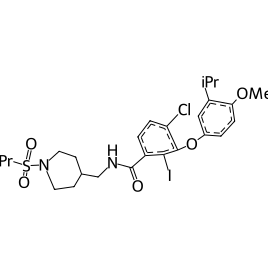 COc1ccc(Oc2c(Cl)ccc(C(=O)NCC3CCN(S(=O)(=O)C(C)C)CC3)c2I)cc1C(C)C